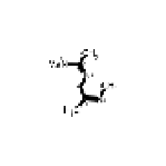 C/N=C(/C)C/N=C(/C)NC